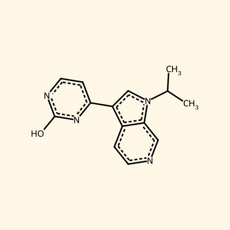 CC(C)n1cc(-c2ccnc(O)n2)c2ccncc21